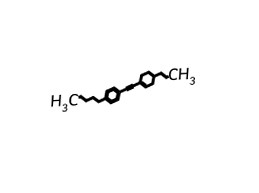 CCCCCc1ccc(C#CC2=CCC(CCC)CC2)cc1